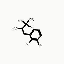 CCCC(C)(C)C(C)Cc1cccc(C(C)C)c1CC